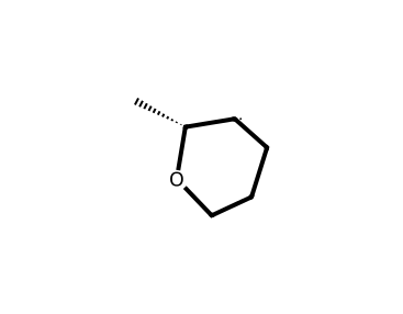 C[C@@H]1[CH]CCCO1